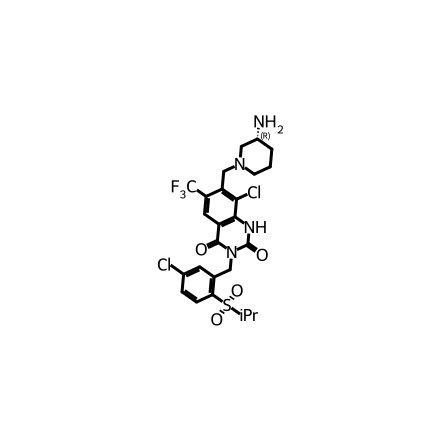 CC(C)S(=O)(=O)c1ccc(Cl)cc1Cn1c(=O)[nH]c2c(Cl)c(CN3CCC[C@@H](N)C3)c(C(F)(F)F)cc2c1=O